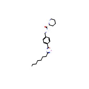 CCCCCCCc1noc(-c2ccc(CNC(=O)[C@@H]3C[C@@H](O)CCN3)cc2)n1